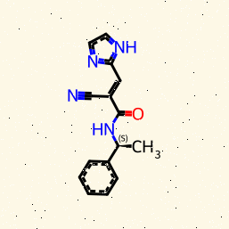 C[C@H](NC(=O)C(C#N)=Cc1ncc[nH]1)c1ccccc1